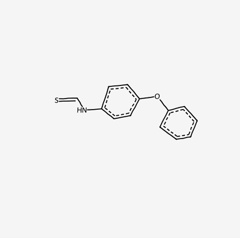 S=CNc1ccc(Oc2ccccc2)cc1